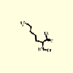 CCNC(CCCCN)C(=O)CC